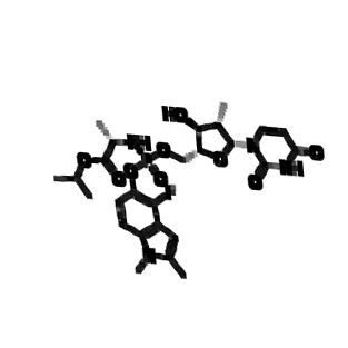 Cc1cc2c(F)c(O[P@](=O)(N[C@@H](C)C(=O)OC(C)C)OC[C@H]3O[C@@H](n4ccc(=O)[nH]c4=O)[C@@H](C)[C@@H]3O)ccc2n1C